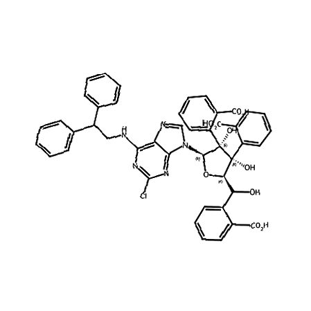 O=C(O)c1ccccc1C(O)[C@H]1O[C@@H](n2cnc3c(NCC(c4ccccc4)c4ccccc4)nc(Cl)nc32)[C@@](O)(c2ccccc2C(=O)O)[C@@]1(O)c1ccccc1C(=O)O